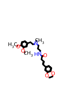 COc1ccc(CCN(C)CCCNC(=O)C/C=C/c2ccc3c(c2)OCCO3)cc1OC